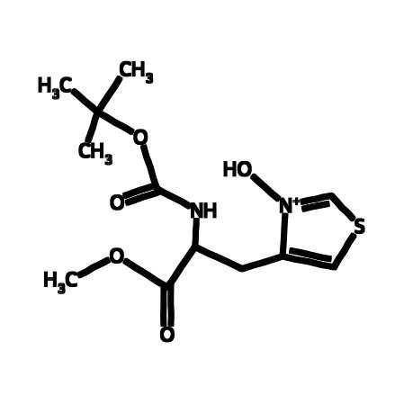 COC(=O)C(Cc1csc[n+]1O)NC(=O)OC(C)(C)C